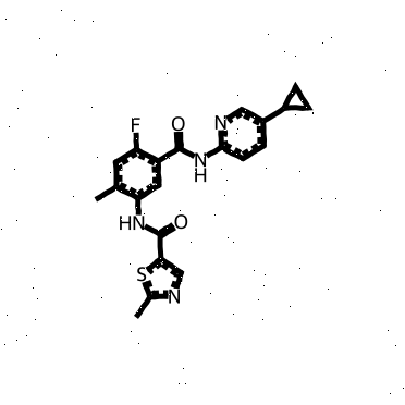 Cc1ncc(C(=O)Nc2cc(C(=O)Nc3ccc(C4CC4)cn3)c(F)cc2C)s1